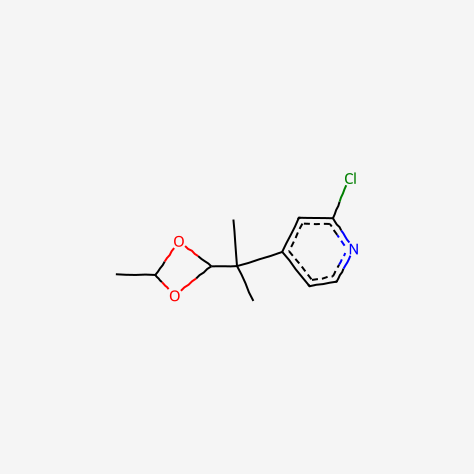 CC1OC(C(C)(C)c2ccnc(Cl)c2)O1